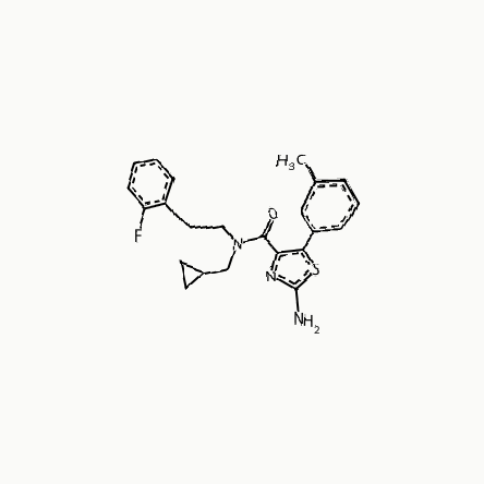 Cc1cccc(-c2sc(N)nc2C(=O)N(CCc2ccccc2F)CC2CC2)c1